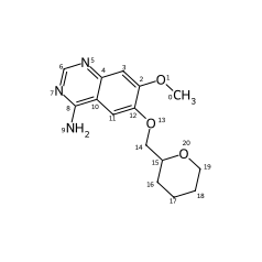 COc1cc2ncnc(N)c2cc1OCC1CCCCO1